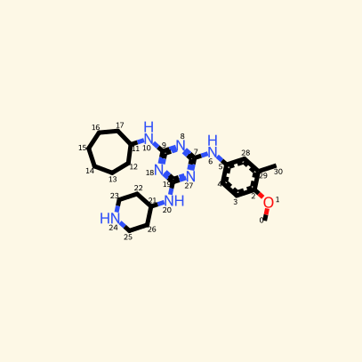 COc1ccc(Nc2nc(NC3CCCCCC3)nc(NC3CCNCC3)n2)cc1C